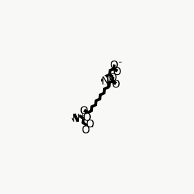 C[N+](C)(C)CC(CC(=O)[O-])OC(=O)C=CCCCCCCCCC(=O)OC(CC(=O)[O-])C[N+](C)(C)C